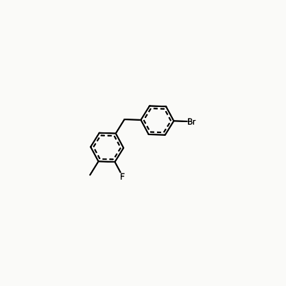 Cc1ccc(Cc2ccc(Br)cc2)cc1F